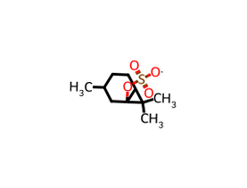 CC1CCC2C(C)(C)C2(OS([O])(=O)=O)C1